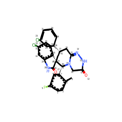 Cc1ccc(F)cc1[C@H]1N2CC(=O)NN=C2C[C@@H](C2C=CC=C(Cl)C2)[C@]12C(=O)Nc1cc(Cl)ccc12